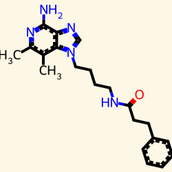 Cc1nc(N)c2ncn(CCCCNC(=O)CCc3ccccc3)c2c1C